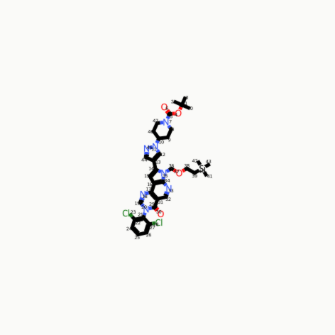 CC(C)(C)OC(=O)N1CCC(n2cc(-c3cc4c5ncn(-c6c(Cl)cccc6Cl)c(=O)c5cnc4n3COCC[Si](C)(C)C)cn2)CC1